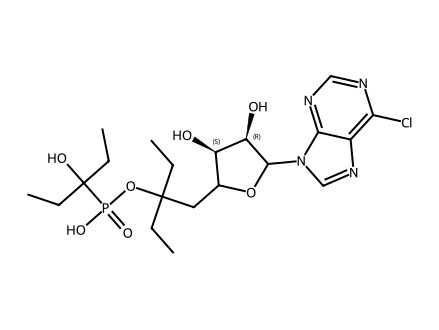 CCC(CC)(CC1OC(n2cnc3c(Cl)ncnc32)[C@H](O)[C@@H]1O)OP(=O)(O)C(O)(CC)CC